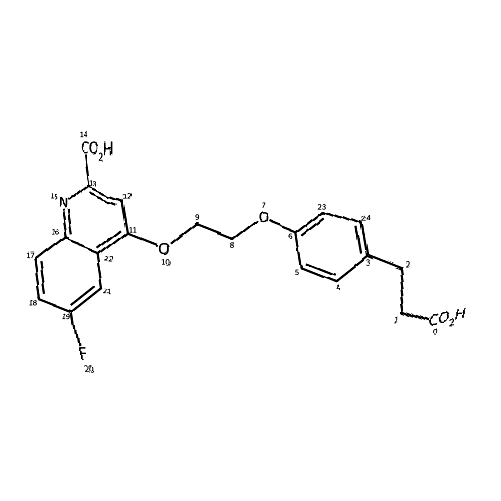 O=C(O)CCc1ccc(OCCOc2cc(C(=O)O)nc3ccc(F)cc23)cc1